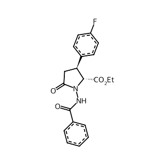 CCOC(=O)[C@H]1[C@H](c2ccc(F)cc2)CC(=O)N1NC(=O)c1ccccc1